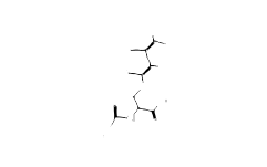 CC(=O)NC(CSC(Cl)=C(Cl)C(Cl)=C(Cl)Cl)C(=O)O